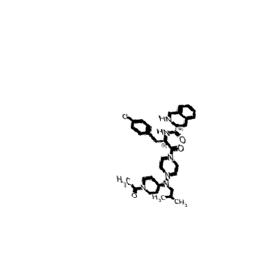 CC(=O)N1CCC(N(CC(C)C)N2CCN(C(=O)[C@@H](Cc3ccc(Cl)cc3)NC(=O)[C@H]3Cc4ccccc4CN3)CC2)CC1